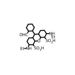 CCNC1CCC2C(OC3C(CCC(NCC)C3S(=O)(=O)O)C2C2CCCCC2C=O)C1S(=O)(=O)O